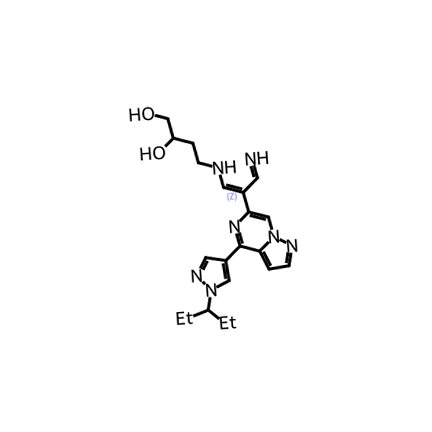 CCC(CC)n1cc(-c2nc(/C(C=N)=C/NCCC(O)CO)cn3nccc23)cn1